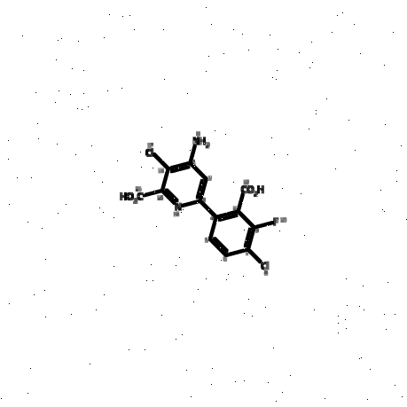 Nc1cc(-c2ccc(Cl)c(F)c2C(=O)O)nc(C(=O)O)c1Cl